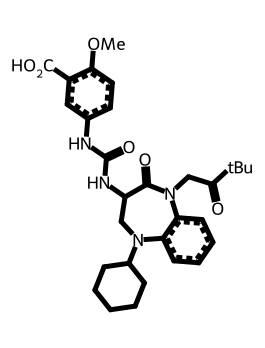 COc1ccc(NC(=O)NC2CN(C3CCCCC3)c3ccccc3N(CC(=O)C(C)(C)C)C2=O)cc1C(=O)O